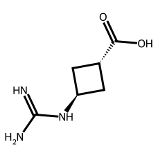 N=C(N)N[C@H]1C[C@H](C(=O)O)C1